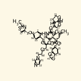 Cc1nc(COc2ccc(C[C@H](NC(=O)O[C@H]3CO[C@H]4OCC[C@H]43)[C@@H](CN(CC(C)C)S(=O)(=O)c3ccc4c(c3)OCO4)OC(=O)COCCn3ccnc3)cc2)cs1